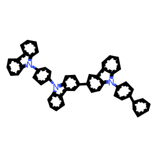 c1ccc(-c2ccc(-n3c4ccccc4c4cc(-c5ccc6c(c5)c5ccccc5n6-c5ccc(-n6c7ccccc7c7ccccc76)cc5)ccc43)cc2)cc1